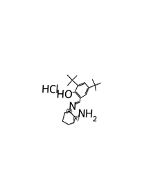 CC(C)(C)c1cc(C=N[C@@H]2CCCC[C@H]2N)c(O)c(C(C)(C)C)c1.Cl